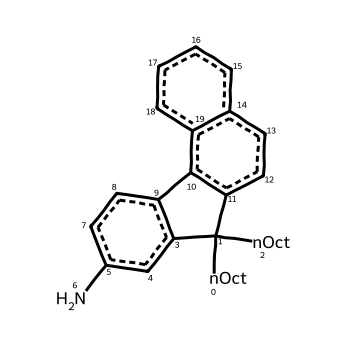 CCCCCCCCC1(CCCCCCCC)c2cc(N)ccc2-c2c1ccc1ccccc21